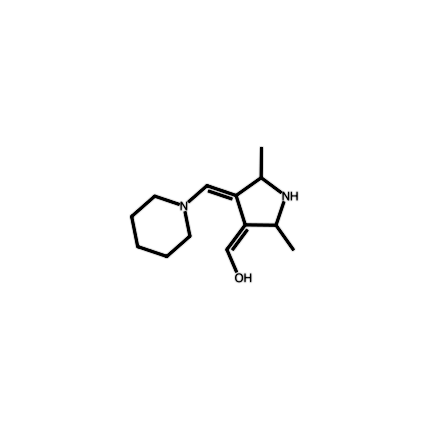 CC1NC(C)C(=CN2CCCCC2)C1=CO